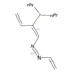 C=C/N=N\C=C(/C=C)C(CCC)CCC